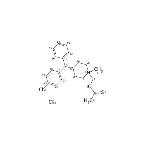 CC(=S)OC[N+]1(C)CCN(C(c2ccccc2)c2ccc(Cl)cc2)CC1.[Cl-]